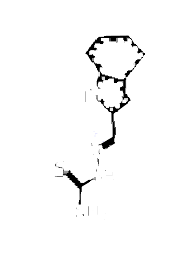 NC(=S)N/N=C/c1cc2ccccc2[nH]1